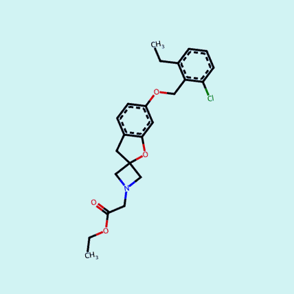 CCOC(=O)CN1CC2(Cc3ccc(OCc4c(Cl)cccc4CC)cc3O2)C1